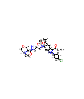 CNC(=O)c1c2cc(C3CC3)c(N(CCCNC(=O)C3COCCN3C)S(C)(=O)=O)cc2nn1-c1ccc(Cl)cc1